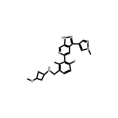 COC1CC(NCc2ccc(F)c(-c3cc4c(-c5cnn(C)c5)n[nH]c4cn3)c2C)C1